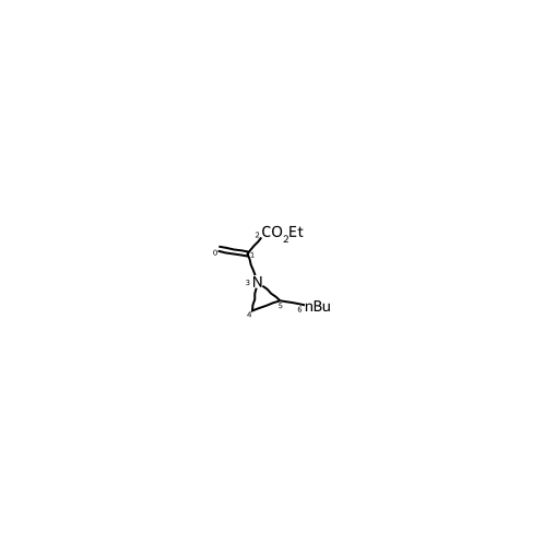 C=C(C(=O)OCC)N1CC1CCCC